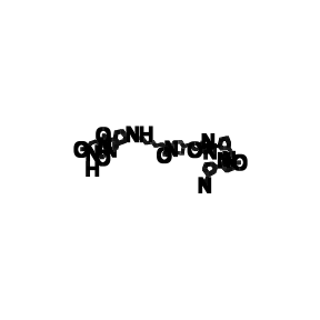 N#Cc1cccc(-c2ccc(=O)n(Cc3cccc(-c4ncc(OCC5CCN(C(=O)CCCCCCNc6ccc7c(=O)n(C8CCC(=O)NC8=O)ncc7c6)CC5)cn4)c3)n2)c1